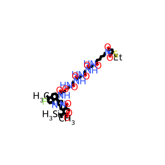 CCSC1CC(=O)N(CCCCCC(=O)NCC(=O)NCC(=O)NCC(=O)NCC(=O)NCOCC(=O)N[C@H]2CCc3c(C)c(F)cc4nc5c(c2c34)Cn2c-5cc3c(c2=O)COC(=O)C3C(C)[SiH3])C1=O